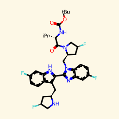 CC(C)[C@H](NC(=O)OC(C)(C)C)C(=O)N1C[C@@H](F)C[C@H]1Cn1c(-c2[nH]c3cc(F)ccc3c2C[C@@H]2C[C@H](F)CN2)nc2cc(F)ccc21